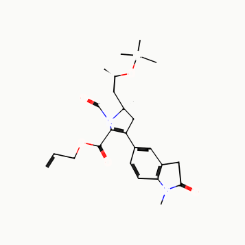 C=CCOC(=O)C1=C(c2ccc3c(c2)CC(=O)N3C)C[C@@H]2[C@@H]([C@@H](C)O[Si](C)(C)C)C(=O)N12